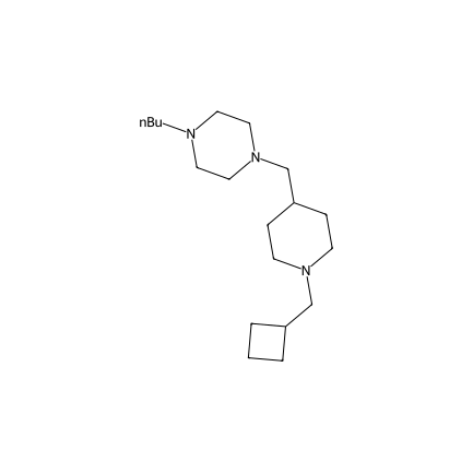 CCCCN1CCN(CC2CCN(CC3CCC3)CC2)CC1